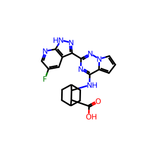 O=C(O)C1C2CCC(CC2)C1Nc1nc(-c2n[nH]c3ncc(F)cc23)nn2cccc12